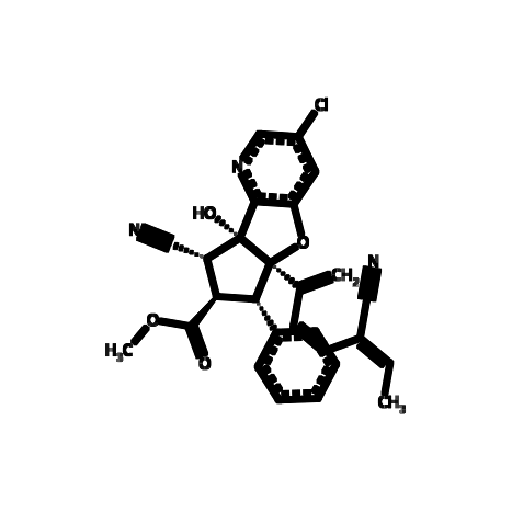 C=C(/C=C\C(C#N)=C/C)[C@@]12Oc3cc(Cl)cnc3[C@]1(O)[C@@H](C#N)[C@H](C(=O)OC)[C@H]2c1ccccc1